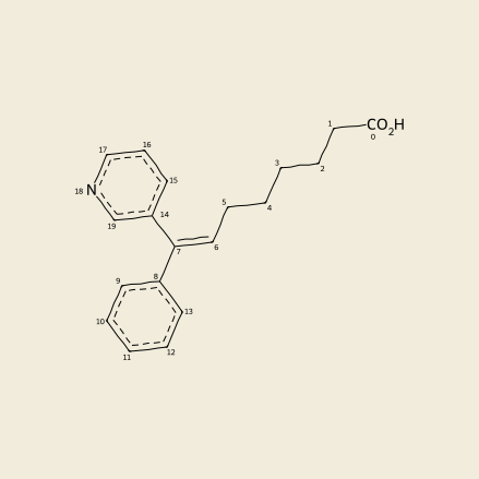 O=C(O)CCCCCC=C(c1ccccc1)c1cccnc1